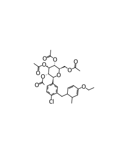 CCOC1=CC(C)C(Cc2cc([C@@H]3O[C@H](COC(C)=O)[C@@H](OC(C)=O)[C@H](OC(C)=O)[C@H]3OC(C)=O)ccc2Cl)C=C1